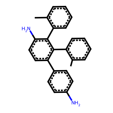 Cc1ccccc1-c1c(N)ccc(-c2ccc(N)cc2)c1-c1ccccc1C